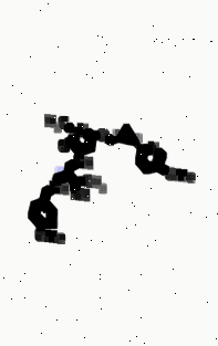 COc1ccc(CN/C=C(/CNc2cc(OC[C@H]3C[C@@H]3c3ccc(OC)cn3)nn(C)c2=O)C(C)=N)cc1